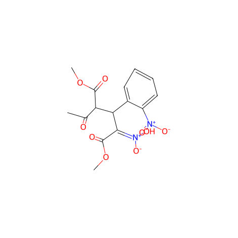 COC(=O)C(C(c1ccccc1[N+](=O)[O-])C(C(C)=O)C(=O)OC)=[N+]([O-])O